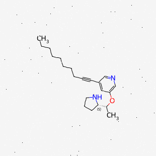 CCCCCCCCC#Cc1cncc(OC(C)[C@@H]2CCCN2)c1